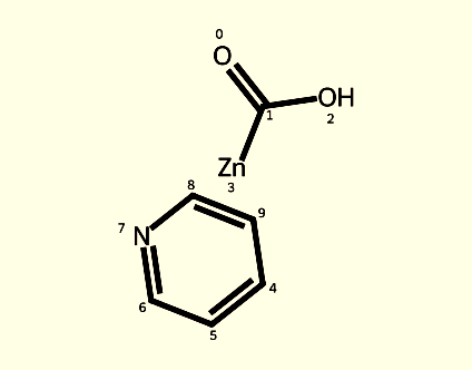 O=[C](O)[Zn].c1ccncc1